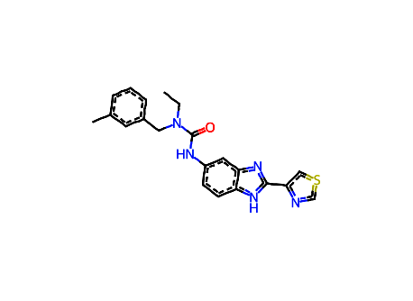 CCN(Cc1cccc(C)c1)C(=O)Nc1ccc2[nH]c(-c3cscn3)nc2c1